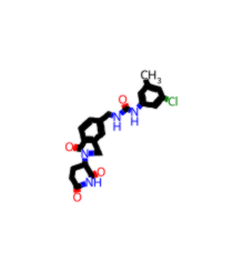 Cc1cc(Cl)cc(NC(=O)NCc2ccc3c(c2)CN(C2CCC(=O)NC2=O)C3=O)c1